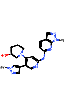 CCn1ncc2ccc(Nc3cc(N4CCC[C@H](O)C4)c(-c4cnn(C(C)C)c4)cn3)nc21